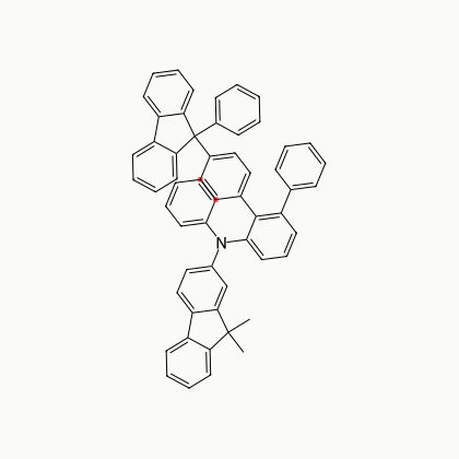 CC1(C)c2ccccc2-c2ccc(N(c3ccccc3)c3cccc(-c4ccccc4)c3-c3ccc(C4(c5ccccc5)c5ccccc5-c5ccccc54)cc3)cc21